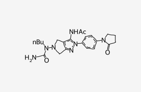 CCCCN(C(N)=O)N1Cc2nn(-c3ccc(N4CCCC4=O)cc3)c(NC(C)=O)c2C1